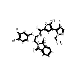 CCn1ncc(Cl)c1-c1cc(C(=O)N[C@@H](Cc2ccc(F)c(F)c2)CN2C(=O)c3ccccc3C2=O)sc1Cl